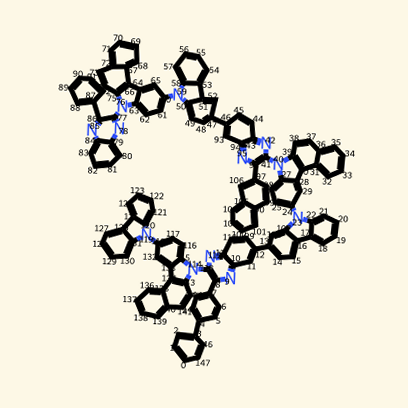 c1ccc(-c2ccc(-c3nc4cc(-c5ccc6c7ccccc7n(-c7ccc8c(c7)c7c9ccccc9ccc7n8-c7nc8ccc(-c9ccc%10c(c9)c9ccccc9n%10-c9ccc%10c(c9)c9c%11ccccc%11ccc9n%10-c9nc%10ccccc%10nc9-c9ccccc9)cc8nc7-c7ccc8ccccc8c7)c6c5)ccc4nc3-n3c4ccc(-n5c6ccccc6c6ccccc65)cc4c4c5ccccc5ccc43)cc2)cc1